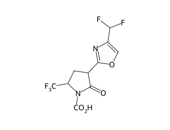 O=C(O)N1C(=O)C(c2nc(C(F)F)co2)CC1C(F)(F)F